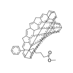 COC(=O)CCCCC12c3c4c5c6c7c8c9c%10c%11c%12c8c8c%13c%14c(c1c8c37)C1=CC2(c2ccccc2)C=C4CC5=CC(C=C%10CC%11=CC(C=C%14C1)C%12%13)C96